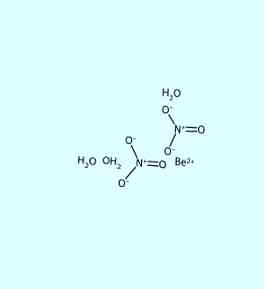 O.O.O.O=[N+]([O-])[O-].O=[N+]([O-])[O-].[Be+2]